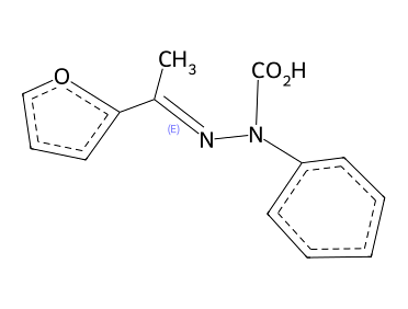 C/C(=N\N(C(=O)O)c1ccccc1)c1ccco1